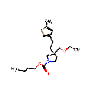 CCCCOC(=O)N1CC[C@@](CCc2csc(C)c2)(COCC)C1